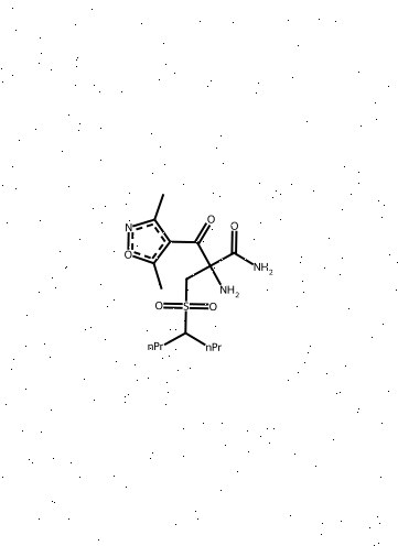 CCCC(CCC)S(=O)(=O)CC(N)(C(N)=O)C(=O)c1c(C)noc1C